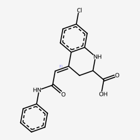 O=C(/C=C1\CC(C(=O)O)Nc2cc(Cl)ccc21)Nc1ccccc1